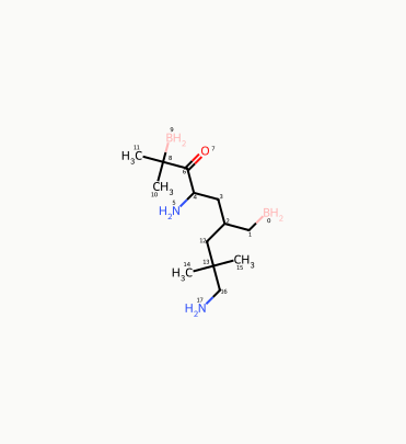 BCC(CC(N)C(=O)C(B)(C)C)CC(C)(C)CN